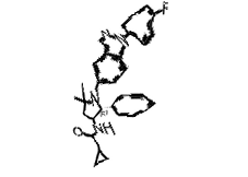 CC1(C)CC(NC(=O)C2CC2)[C@@H](c2ccccc2)N1c1ccc2c(cnn2-c2ccc(F)cc2)c1